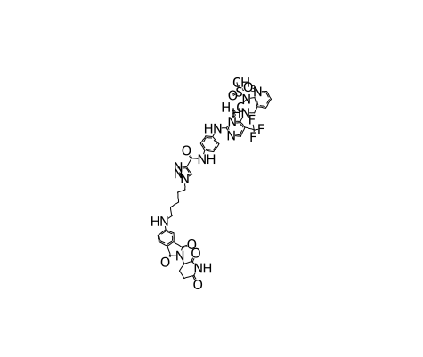 CN(c1ncccc1CNc1nc(Nc2ccc(NC(=O)c3cn(CCCCCNc4ccc5c(c4)C(=O)N(C4CCC(=O)NC4=O)C5=O)nn3)cc2)ncc1C(F)(F)F)S(C)(=O)=O